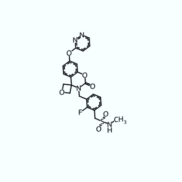 CNS(=O)(=O)Cc1cccc(CN2C(=O)Oc3cc(Oc4cccnn4)ccc3C23COC3)c1F